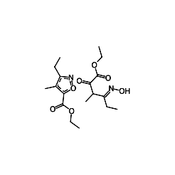 CCOC(=O)C(=O)C(C)C(CC)=NO.CCOC(=O)c1onc(CC)c1C